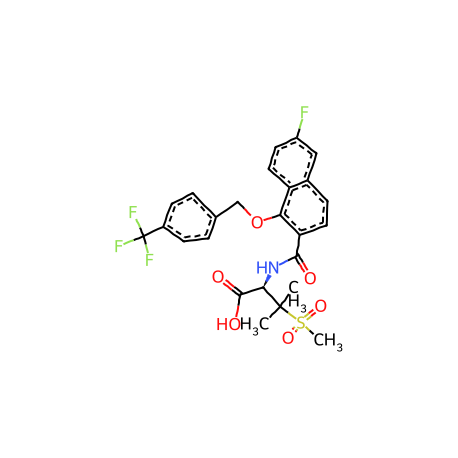 CC(C)([C@H](NC(=O)c1ccc2cc(F)ccc2c1OCc1ccc(C(F)(F)F)cc1)C(=O)O)S(C)(=O)=O